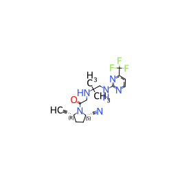 C#C[C@H]1CC[C@@H](C#N)N1C(=O)CNC(C)(C)CNc1nccc(C(F)(F)F)n1